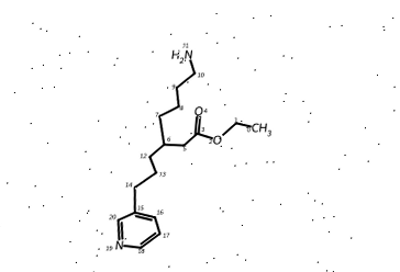 CCOC(=O)CC(CCCCN)CCCc1cccnc1